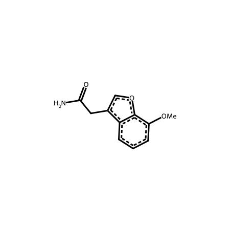 COc1cccc2c(CC(N)=O)coc12